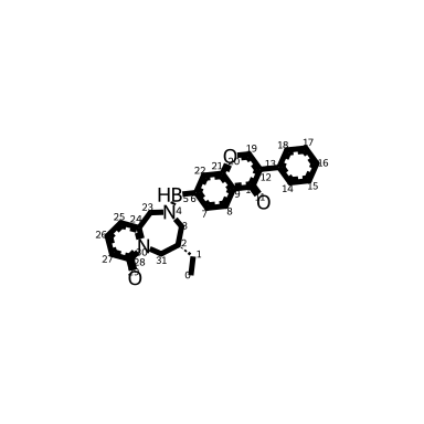 CC[C@H]1CN(Bc2ccc3c(=O)c(-c4ccccc4)coc3c2)Cc2cccc(=O)n2C1